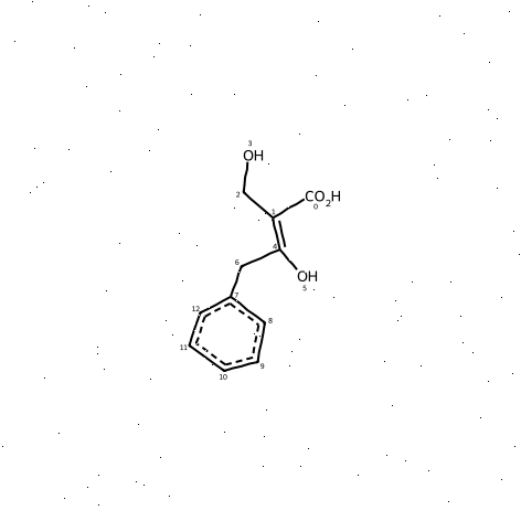 O=C(O)C(CO)=C(O)Cc1ccccc1